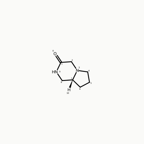 O=C1CN2CCC[C@@H]2CN1